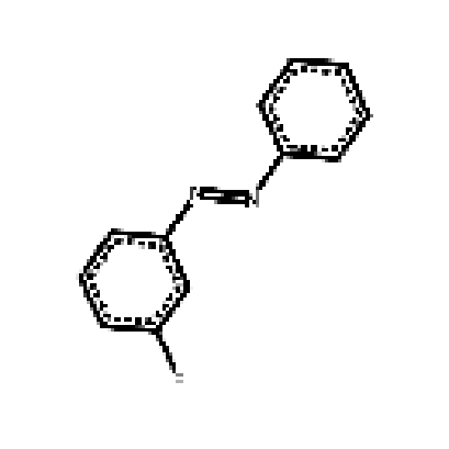 Fc1cccc(/N=N/c2ccccc2)c1